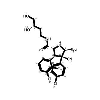 CC(C)(C)[C@@H]1N[C@@H](C(=O)NCC[C@H](O)CO)[C@H](c2cccc(Cl)c2F)[C@@]1(C#N)c1ccc(Cl)cc1